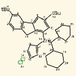 CC(C)(C)c1ccc2c(c1)-c1cc(C(C)(C)C)c[c]([Zr+2]([C]3=CC=CC3)=[C](C3CCCCC3)C3CCCCC3)c1C2.[Cl-].[Cl-]